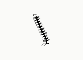 CC(O)C(F)(F)C(F)(F)C(F)(F)C(F)(F)C(F)(F)C(F)(F)C(F)(F)C(F)(F)C(F)(F)C(F)(F)C(F)(F)C(F)(F)F